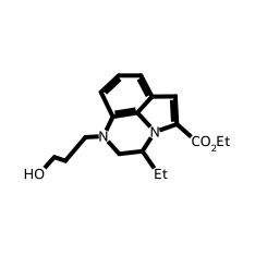 CCOC(=O)c1cc2cccc3c2n1C(CC)CN3CCCO